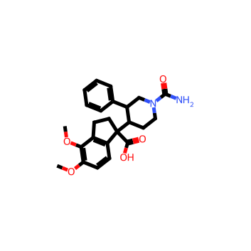 COc1ccc2c(c1OC)CCC2(C(=O)O)C1CCN(C(N)=O)CC1c1ccccc1